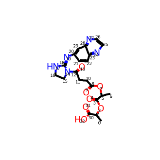 CC(OC(=O)C(C)OC(=O)CCC(=O)N1CCN/C1=N/c1ccc2nccnc2c1)C(=O)O